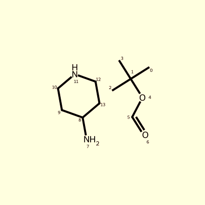 CC(C)(C)OC=O.NC1CCNCC1